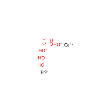 [Ce+3].[OH-].[OH-].[OH-].[OH-].[OH-].[OH-].[Pr+3]